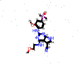 COCCNc1nc(Nc2ccc(P(C)(C)=O)cc2OC)nc2[nH]cc(C#N)c12